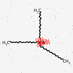 CCCCCCCCCCCCCCCCCC(=O)O[Si](OC(=O)CCCCCCCCCCCCCCCCC)(OC(=O)CCCCCCCCCCCCCCCCC)O[Si](O)(O)O